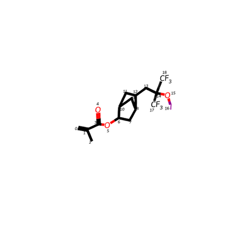 C=C(C)C(=O)OC1CC2CC1CC2CC(OI)(C(F)(F)F)C(F)(F)F